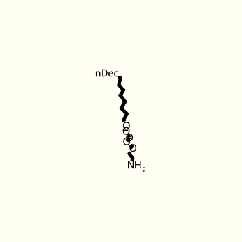 CCCCCCCCCCCCCCCCCCOOOOOCCN